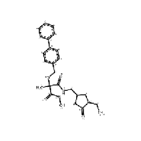 CCN1CC(CNC(=O)C(C)(OCc2ccc(-c3ccccc3)cc2)C(=O)NO)CC1=O